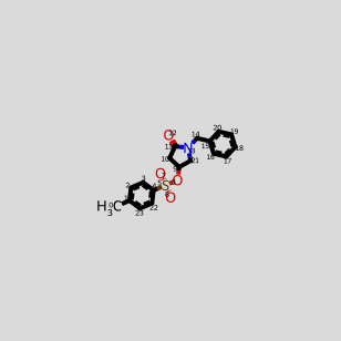 Cc1ccc(S(=O)(=O)OC2CC(=O)N(Cc3ccccc3)C2)cc1